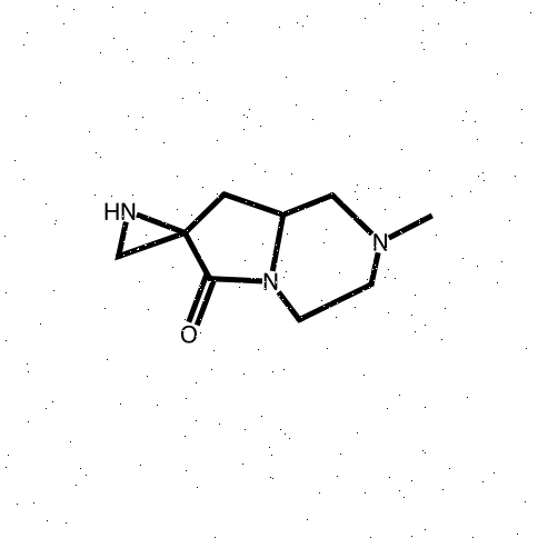 CN1CCN2C(=O)C3(CN3)CC2C1